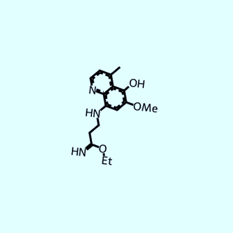 CCOC(=N)CCNc1cc(OC)c(O)c2c(C)ccnc12